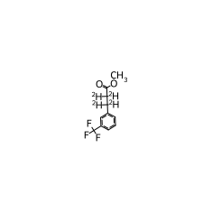 [2H]C([2H])(C(=O)OC)C([2H])([2H])c1cccc(C(F)(F)F)c1